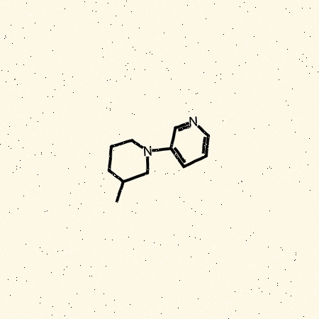 CC1CCCN(c2cccnc2)C1